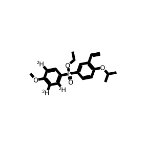 [2H]c1cc(P(=O)(OCC)c2ccc(OC(C)C)c(C=C)c2)c([2H])c([2H])c1OC